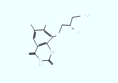 COC[C@@H](O)CSc1c(Cl)c(C)cc2c(=O)[nH]c(=O)[nH]c12